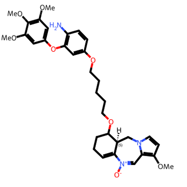 COc1cc(Oc2cc(OCCCCCOC3CCC=C4[C@@H]3Cn3ccc(OC)c3C=[N+]4[O-])ccc2N)cc(OC)c1OC